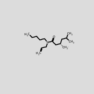 [CH2][C@H](CC(=O)N(CC=C)CCCCC)CC(C)C